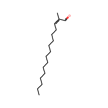 CCCCCCCCCCCCCC=C(C)C=O